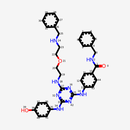 O=C(NCc1ccccc1)c1ccc(Nc2nc(NCCOCCNCc3ccccc3)nc(Nc3ccc(O)cc3)n2)cc1